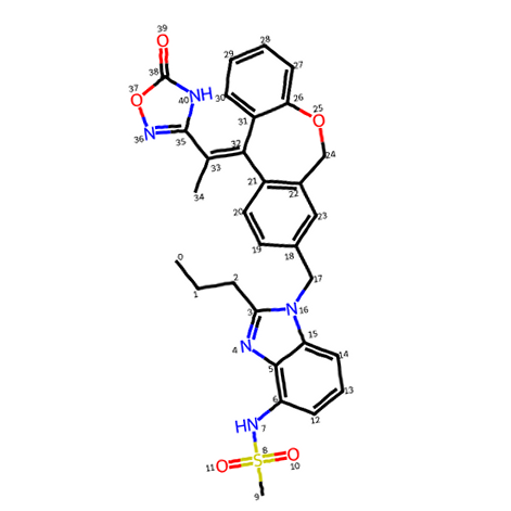 CCCc1nc2c(NS(C)(=O)=O)cccc2n1Cc1ccc2c(c1)COc1ccccc1/C2=C(/C)c1noc(=O)[nH]1